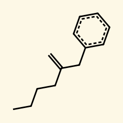 C=C(CCCC)Cc1ccccc1